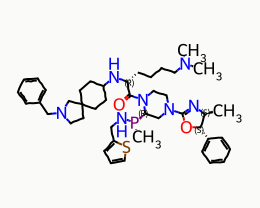 C[C@@H]1N=C(N2CCN(C(=O)[C@@H](CCCCN(C)C)NC3CCC4(CC3)CCN(Cc3ccccc3)C4)[C@H](P(C)NCc3cccs3)C2)O[C@H]1c1ccccc1